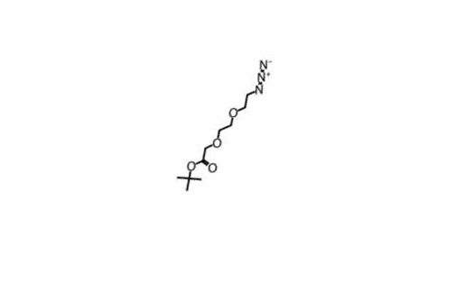 CC(C)(C)OC(=O)COCCOCCN=[N+]=[N-]